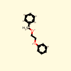 c1ccc(OCCO[SiH2]c2ccccc2)cc1